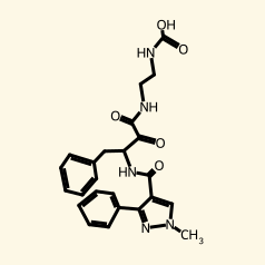 Cn1cc(C(=O)NC(Cc2ccccc2)C(=O)C(=O)NCCNC(=O)O)c(-c2ccccc2)n1